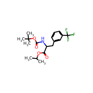 CC(C)OC(=O)C(Cc1cccc(C(F)(F)F)c1)NC(=O)OC(C)(C)C